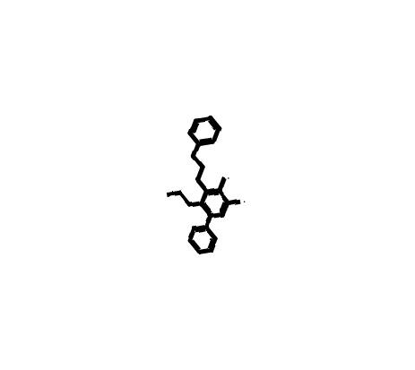 [CH2]c1cc(-c2ccccc2)c(CCC)c(CCCc2ccccc2)c1[CH2]